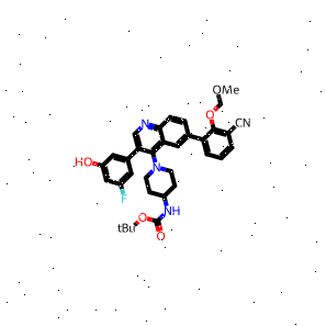 COCOc1c(C#N)cccc1-c1ccc2ncc(-c3cc(O)cc(F)c3)c(N3CCC(NC(=O)OC(C)(C)C)CC3)c2c1